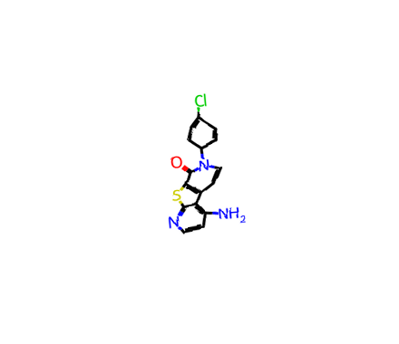 Nc1ccnc2sc3c(=O)n(C4C=CC(Cl)=CC4)ccc3c12